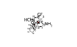 Cl.Nc1ccc(C(=O)N2C3CCC2CN(c2ncc(C(F)(F)F)cn2)C3)cc1